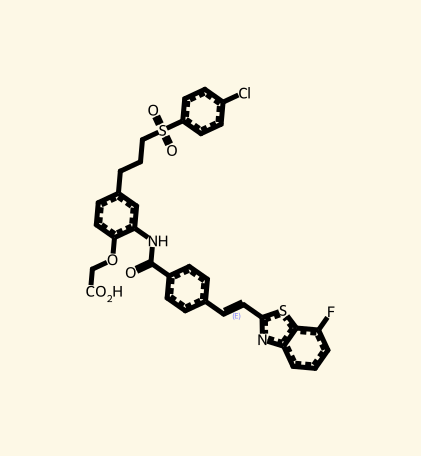 O=C(O)COc1ccc(CCCS(=O)(=O)c2ccc(Cl)cc2)cc1NC(=O)c1ccc(/C=C/c2nc3cccc(F)c3s2)cc1